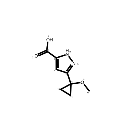 COC1(c2cc(C(=O)O)[nH]n2)CC1